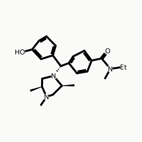 CCN(C)C(=O)c1ccc([C@@H](c2cccc(O)c2)N2C[C@H](C)N(C)C[C@@H]2C)cc1